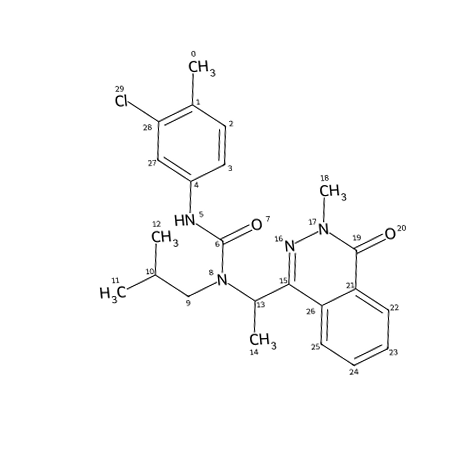 Cc1ccc(NC(=O)N(CC(C)C)C(C)c2nn(C)c(=O)c3ccccc23)cc1Cl